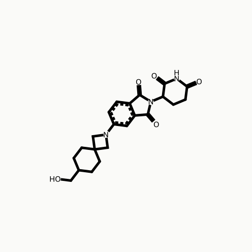 O=C1CCC(N2C(=O)c3ccc(N4CC5(CCC(CO)CC5)C4)cc3C2=O)C(=O)N1